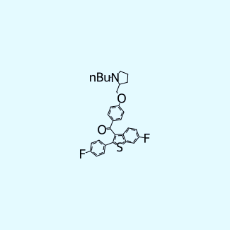 CCCCN1CCCC1COc1ccc(C(=O)c2c(-c3ccc(F)cc3)sc3cc(F)ccc23)cc1